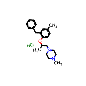 Cc1ccc(OC(C)CN2CCN(C)CC2)c(Cc2ccccc2)c1.Cl